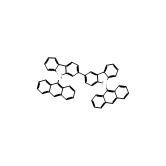 c1ccc2c(-n3c4ccccc4c4cc(-c5ccc6c7ccccc7n(-c7c8ccccc8cc8ccccc78)c6c5)ccc43)c3ccccc3cc2c1